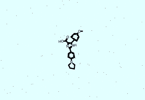 COc1ccc(-c2[nH]c(-c3ccc(N4CCCC4)cc3)nc2C(=O)O)cc1